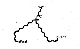 CCCCC/C=C\C/C=C\CCCCCCCCC(C)(CCCCCCCC/C=C\C/C=C\CCCCC)OC(=O)CCN(C)C